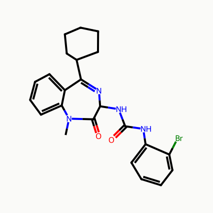 CN1C(=O)C(NC(=O)Nc2ccccc2Br)N=C(C2CCCCC2)c2ccccc21